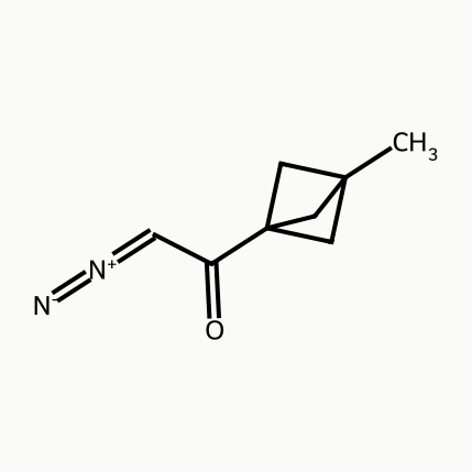 CC12CC(C(=O)C=[N+]=[N-])(C1)C2